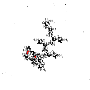 CC[C@H]1O[C@@H](n2cnc3c(=O)[nH]c(N)nc32)C[C@H]1OP(=O)(S)OC[C@H]1O[C@@H](n2cc(C)c(N)nc2=O)C[C@H]1OP(=O)(S)OC[C@H]1O[C@@H](n2cc(C)c(N)nc2=O)C[C@H]1OP(=O)(S)OC[C@H]1O[C@@H](n2cc(C)c(N)nc2=O)C[C@H]1OP(=O)(S)OC[C@H]1O[C@@H](n2cc(C)c(N)nc2=O)C[C@H]1OP(=O)(S)OC[C@H]1O[C@@H](n2cc(C)c(=O)[nH]c2=O)C[C@H]1OP(=O)(S)OC[C@H]1O[C@@H](n2cnc3c(=O)[nH]c(N)nc32)C[C@H]1OP(=O)(O)S